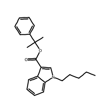 CCCCCn1cc(C(=O)OC(C)(C)c2ccccc2)c2ccccc21